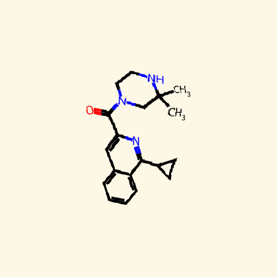 CC1(C)CN(C(=O)c2cc3ccccc3c(C3CC3)n2)CCN1